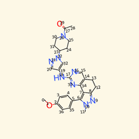 COc1ccc(-c2c3c(nn2C)CCc2cnc(Nc4cnn(C5CCN(C(C)=O)CC5)c4)nc2-3)cc1